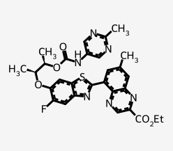 CCOC(=O)c1cnc2c(-c3nc4cc(F)c(O[C@@H](C)[C@@H](C)OC(=O)Nc5cnc(C)nc5)cc4s3)cc(C)cc2n1